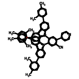 Cc1ccc(-c2ccc3c(c2)c2cc(-c4ccc(C)cc4C)ccc2n3-c2cc(C#N)c(-c3ccncc3)cc2-n2c3ccc(-c4ccc(C)cc4C)cc3c3cc(-c4ccc(C)cc4C)ccc32)c(C)c1